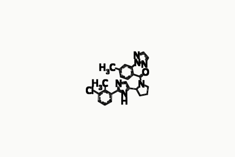 Cc1ccc(C(=O)N2CCCC2c2cnc(-c3cccc(Cl)c3C)[nH]2)c(-n2nccn2)c1